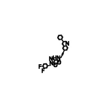 O=C(NCC#Cc1ccc2ncc(-c3ccccc3)cc2c1)c1cncn(Cc2ccc(F)c(F)c2)c1=O